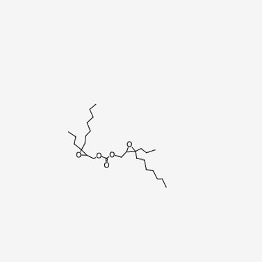 CCCCCCCC1(CCC)OC1COC(=O)OCC1OC1(CCC)CCCCCCC